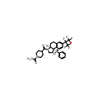 CC(=O)N1CCC(C(=O)N2CC[C@]3(S(=O)(=O)c4ccccc4)c4ccc(C(F)(C(F)(F)F)C(F)(F)F)cc4CC[C@H]23)CC1